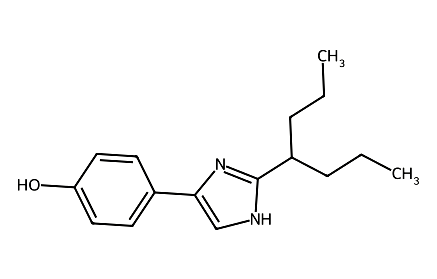 CCCC(CCC)c1nc(-c2ccc(O)cc2)c[nH]1